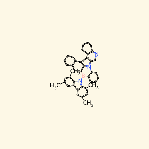 Cc1cc(C)c2c(c1)c1cc(C)cc(C)c1n2B1c2ccccc2-n2c3cnc4ccccc4c3c3c4ccccc4cc1c32